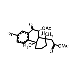 COC(=O)C[C@]1(C)CCC[C@]2(C)c3ccc(C(C)C)cc3C(=O)[C@H](OC(C)=O)[C@@H]12